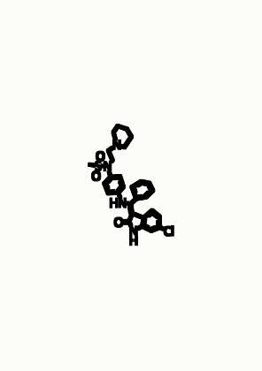 CS(=O)(=O)N(CCN1CCCCC1)c1ccc(N/C(=C2\C(=O)Nc3cc(Cl)ccc32)c2ccccc2)cc1